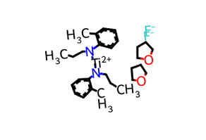 C1CCOC1.C1CCOC1.CCC[N]([Ti+2][N](CCC)c1ccccc1C)c1ccccc1C.[F-].[F-]